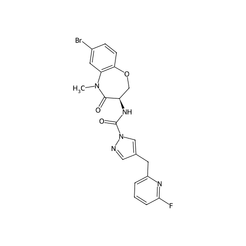 CN1C(=O)[C@H](NC(=O)n2cc(Cc3cccc(F)n3)cn2)COc2ccc(Br)cc21